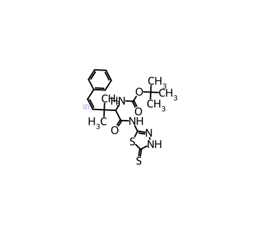 CC(C)(C)OC(=O)NC(C(=O)Nc1n[nH]c(=S)s1)C(C)(C)/C=C\c1ccccc1